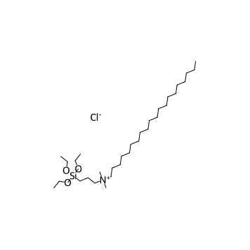 CCCCCCCCCCCCCCCCCCCC[N+](C)(C)CCC[Si](OCC)(OCC)OCC.[Cl-]